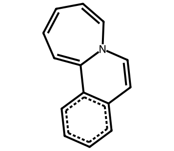 C1=CC=C2c3ccccc3C=CN2C=C1